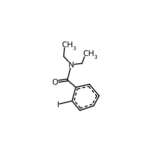 CCN(CC)C(=O)c1ccccc1I